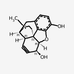 CN1CC[C@]23c4c5ccc(O)c4O[C@H]2[C@@H](O)C#C[C@H]3[C@H]1C5